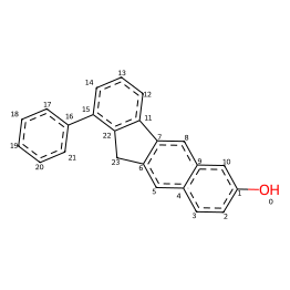 Oc1ccc2cc3c(cc2c1)-c1cccc(-c2ccccc2)c1C3